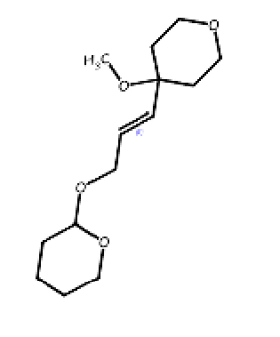 COC1(/C=C/COC2CCCCO2)CCOCC1